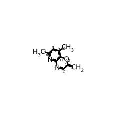 C=C1C=Nc2nc(C)cc(C)c2O1